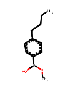 CCCCc1ccc(B(O)OC)cc1